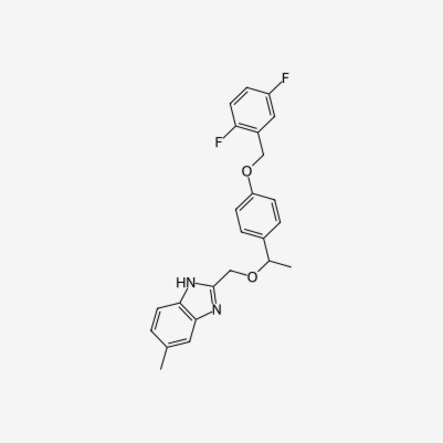 Cc1ccc2[nH]c(COC(C)c3ccc(OCc4cc(F)ccc4F)cc3)nc2c1